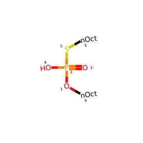 CCCCCCCCOP(=O)(O)SCCCCCCCC